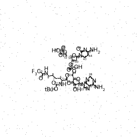 CC(C)(C)OC(=O)NC(CCCCNC(=O)C(F)(F)F)C(=O)O[C@H]1[C@@H](O)[C@H](n2cnc3c(N)ncnc32)O[C@@H]1COP(=O)(O)O[C@H]1C[C@H](n2ccc(N)nc2=O)O[C@H]1COP(=O)(O)O